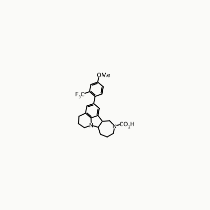 COc1ccc(-c2cc3c4c(c2)C2CN(C(=O)O)CCCC2N4CCC3)c(C(F)(F)F)c1